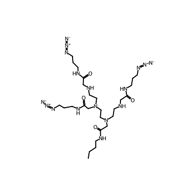 CCCCNC(=O)CN(CCNCC(=O)NCCCN=[N+]=[N-])CCN(CCNCC(=O)NCCCN=[N+]=[N-])CC(=O)NCCCN=[N+]=[N-]